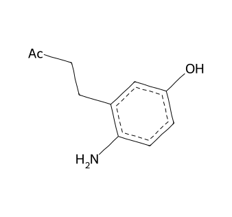 CC(=O)CCc1cc(O)ccc1N